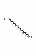 CCC=CCCCCCCCCC=CC=CO